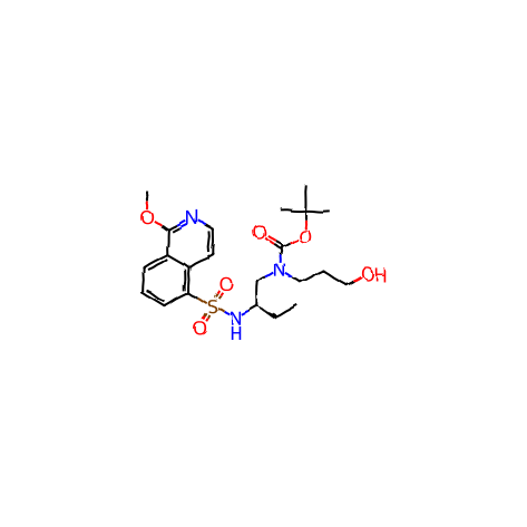 CC[C@H](CN(CCCO)C(=O)OC(C)(C)C)NS(=O)(=O)c1cccc2c(OC)nccc12